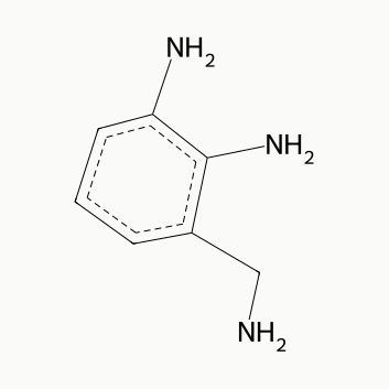 NCc1cccc(N)c1N